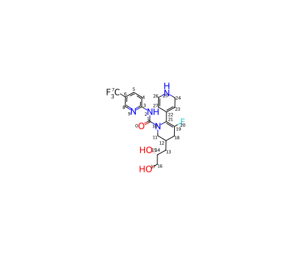 O=C(Nc1ccc(C(F)(F)F)cn1)N1CC(C[C@@H](O)CO)CC(F)=C1C1=CCNC=C1